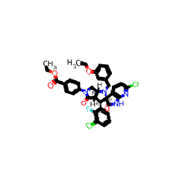 CCOC(=O)c1ccc(N2C[C@H]3[C@@H](C2=O)[C@H](c2cccc(Cl)c2F)[C@]2(C(=O)Nc4nc(Cl)ccc42)N3Cc2cccc(OCC)c2)cc1